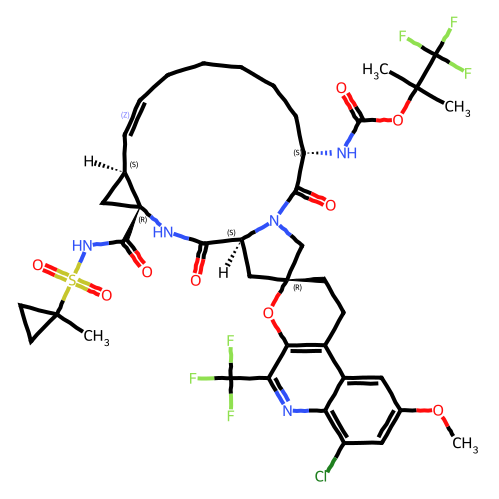 COc1cc(Cl)c2nc(C(F)(F)F)c3c(c2c1)CC[C@]1(C[C@H]2C(=O)N[C@]4(C(=O)NS(=O)(=O)C5(C)CC5)C[C@H]4/C=C\CCCCC[C@H](NC(=O)OC(C)(C)C(F)(F)F)C(=O)N2C1)O3